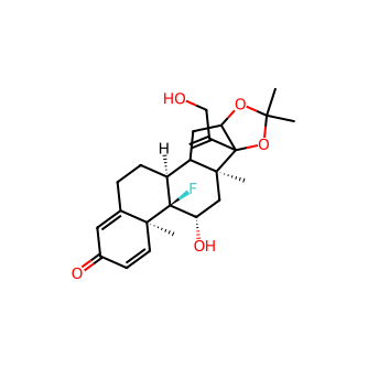 C=C(CO)C12OC(C)(C)OC1CC1[C@@H]3CCC4=CC(=O)C=C[C@]4(C)[C@@]3(F)[C@@H](O)C[C@@]12C